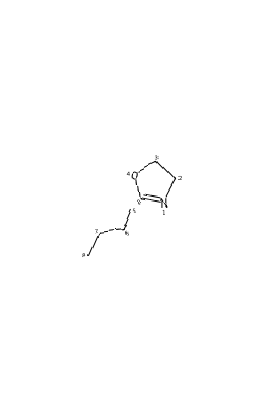 C1=NCCO1.CCCC